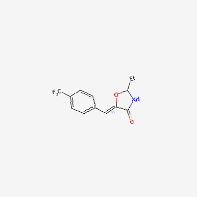 CCC1NC(=O)/C(=C/c2ccc(C(F)(F)F)cc2)O1